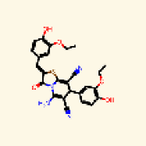 CCOc1cc(C=c2sc3n(c2=O)C(N)=C(C#N)C(c2ccc(O)c(OCC)c2)C=3C#N)ccc1O